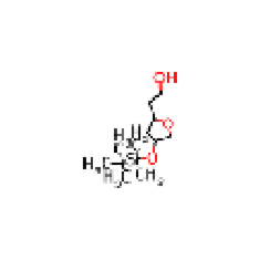 CC(C)(C)[Si](C)(C)OC1COC(CCO)C1